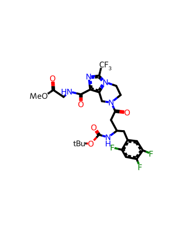 COC(=O)CNC(=O)c1nc(C(F)(F)F)n2c1CN(C(=O)CC(Cc1cc(F)c(F)cc1F)NC(=O)OC(C)(C)C)CC2